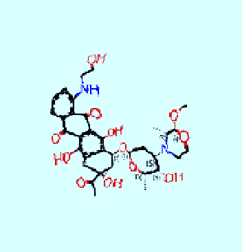 CO[C@H]1OCCN([C@H]2C[C@H](O[C@H]3C[C@](O)(C(C)=O)Cc4c(O)c5c(c(O)c43)C(=O)c3c(NCCO)cccc3C5=O)O[C@@H](C)[C@H]2O)[C@@H]1C